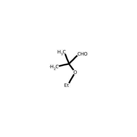 [CH2]C(C)(C=O)OCC